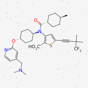 CN(C)Cc1ccnc(O[C@H]2CC[C@H](N(c3cc(C#CC(C)(C)C(F)(F)F)sc3C(=O)O)C(=O)[C@H]3CC[C@H](C)CC3)CC2)c1